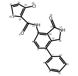 O=C(Nc1ccc(-c2ccccc2)c2c1C(=O)NC2)c1sccc1Cl